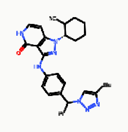 CC(C)C(c1ccc(Nc2nn([C@H]3CCCCC3C#N)c3cc[nH]c(=O)c23)cc1)n1cc(C(C)(C)C)nn1